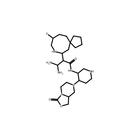 NC(N)C(C(=O)NC1CNCCC1N1CCN2C(=O)OCC2C1)C1CC2(CCCC2)CCC(F)CN1